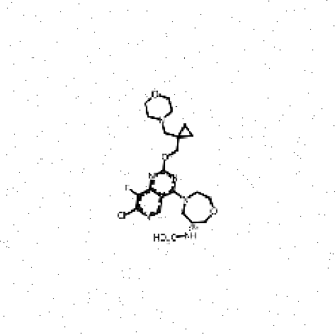 O=C(O)N[C@H]1COCCN(c2nc(OCC3(CN4CCOCC4)CC3)nc3c(F)c(Cl)ncc23)C1